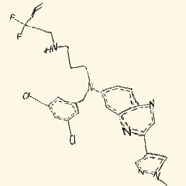 Cn1cc(-c2cnc3ccc(N(CCCNCC(F)(F)F)c4cc(Cl)cc(Cl)c4)cc3n2)cn1